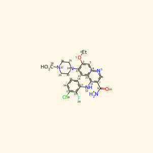 CCOc1cc2ncc(C(N)=O)c(Nc3cccc(Cl)c3F)c2cc1N1CCN(C(=O)O)CC1